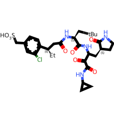 CC[C@@H](CC(=O)N[C@@H](CC(C)(C)C)C(=O)NC(C[C@@H]1CCNC1=O)C(=O)C(=O)NC1CC1)c1ccc(CS(=O)(=O)O)cc1Cl